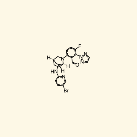 O=Cc1c(N2C[C@@H]3CC[C@H]2[C@H](Nc2ccc(Br)cn2)C3)ccc(F)c1-n1nccn1